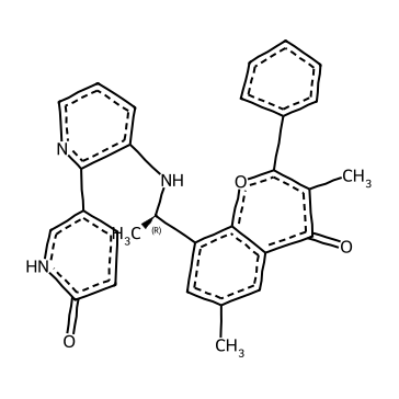 Cc1cc([C@@H](C)Nc2cccnc2-c2ccc(=O)[nH]c2)c2oc(-c3ccccc3)c(C)c(=O)c2c1